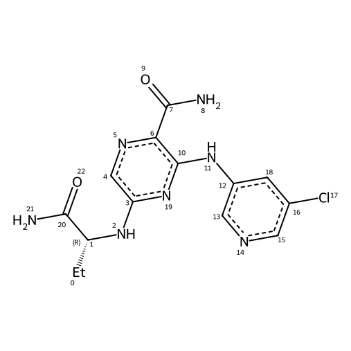 CC[C@@H](Nc1cnc(C(N)=O)c(Nc2cncc(Cl)c2)n1)C(N)=O